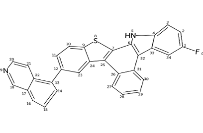 Fc1ccc2[nH]c3c4sc5ccc(-c6cccc7cnccc67)cc5c4c4ccccc4c3c2c1